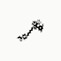 C=CC(=O)N1CCN(CCCCCCn2nc(-c3cc(F)cc(F)c3)c3c(N)ncnc32)CC1